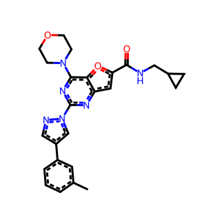 Cc1cccc(-c2cnn(-c3nc(N4CCOCC4)c4oc(C(=O)NCC5CC5)cc4n3)c2)c1